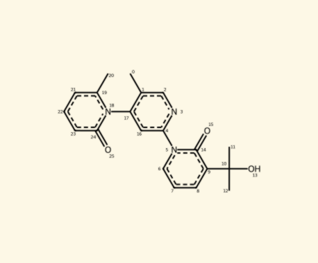 Cc1cnc(-n2cccc(C(C)(C)O)c2=O)cc1-n1c(C)cccc1=O